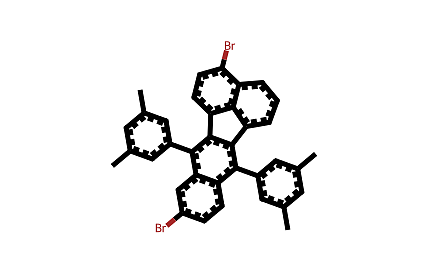 Cc1cc(C)cc(-c2c3c(c(-c4cc(C)cc(C)c4)c4cc(Br)ccc24)-c2ccc(Br)c4cccc-3c24)c1